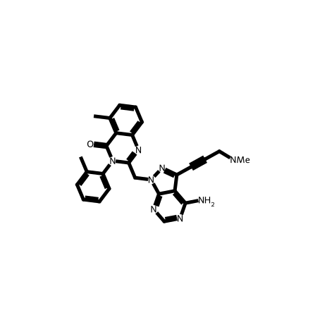 CNCC#Cc1nn(Cc2nc3cccc(C)c3c(=O)n2-c2ccccc2C)c2ncnc(N)c12